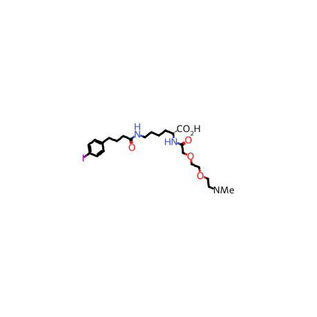 CNCCOCCOCC(=O)N[C@H](CCCCNC(=O)CCCc1ccc(I)cc1)C(=O)O